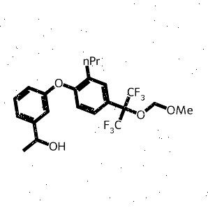 CCCc1cc(C(OCOC)(C(F)(F)F)C(F)(F)F)ccc1Oc1cccc(C(C)O)c1